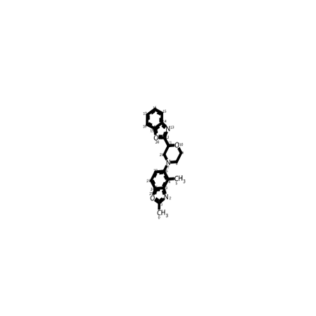 Cc1nc2c(C)c(N3CCOC(c4nc5ccccc5o4)C3)ccc2o1